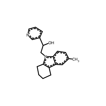 Cc1ccc2c(c1)c1c(n2CC(O)c2cccnc2)CCCC1